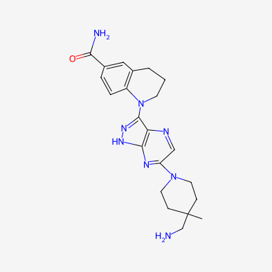 CC1(CN)CCN(c2cnc3c(N4CCCc5cc(C(N)=O)ccc54)n[nH]c3n2)CC1